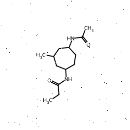 CCC(=O)NC1CCC(NC(C)=O)CC(C)C1